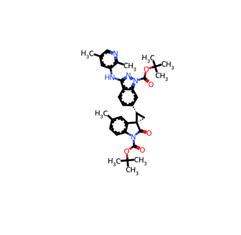 Cc1cnc(C)c(Nc2nn(C(=O)OC(C)(C)C)c3cc([C@@H]4C[C@@]45C(=O)N(C(=O)OC(C)(C)C)c4ccc(C)cc45)ccc23)c1